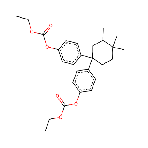 CCOC(=O)Oc1ccc(C2(c3ccc(OC(=O)OCC)cc3)CCC(C)(C)C(C)C2)cc1